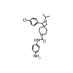 CC(C)N1CC2(CCN(C(=O)Nc3ccc(N)cc3)CC2)C1c1ccc(Cl)cc1